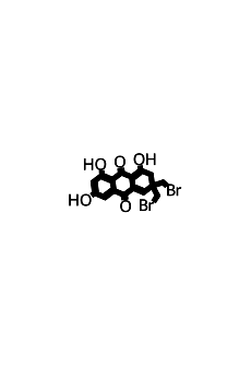 O=C1C2=CC(CBr)(CBr)CC(O)=C2C(=O)c2c(O)cc(O)cc21